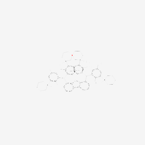 Cc1cc(C(c2cc(C)cc(C3(C)CCCCC3)c2O)c2cccc3c2sc2c(C(c4cc(C)cc(C5(C)CCCCC5)c4O)c4cc(C)cc(C5(C)CCCCC5)c4O)cccc23)c(O)c(C2(C)CCCCC2)c1